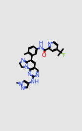 Cc1ccc(NC(=O)c2cc(C(C)(C)F)ccn2)cc1C1=Cc2cnc(Nc3cnn(C)c3)nc2N2CCN=C12